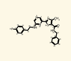 Cc1nc(-c2cncc(NCCc3ccc(F)cc3)n2)sc1C(=O)NCc1ccccc1